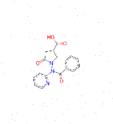 O=C(O)C1CC(=O)N(N(C(=O)c2ccccc2)c2ccccn2)C1